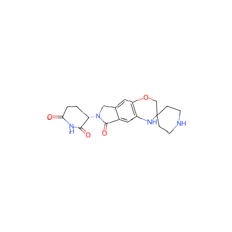 O=C1CC[C@H](N2Cc3cc4c(cc3C2=O)NC2(CCNCC2)CO4)C(=O)N1